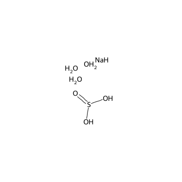 O.O.O.O=S(O)O.[NaH]